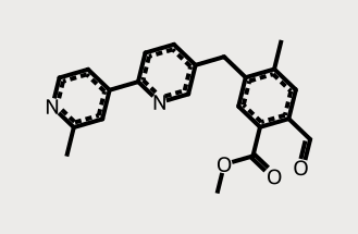 COC(=O)c1cc(Cc2ccc(-c3ccnc(C)c3)nc2)c(C)cc1C=O